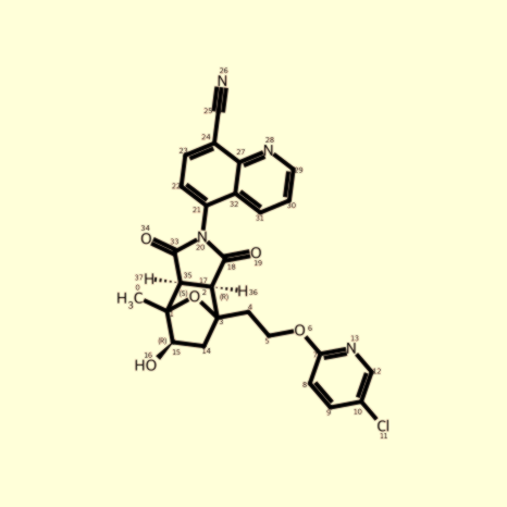 CC12OC(CCOc3ccc(Cl)cn3)(C[C@H]1O)[C@@H]1C(=O)N(c3ccc(C#N)c4ncccc34)C(=O)[C@@H]12